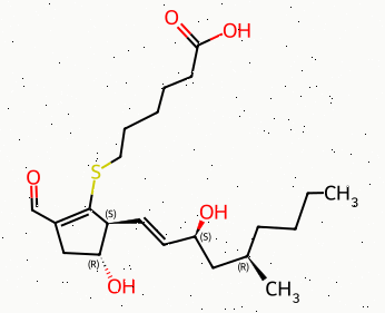 CCCC[C@@H](C)C[C@H](O)C=C[C@@H]1C(SCCCCCC(=O)O)=C(C=O)C[C@H]1O